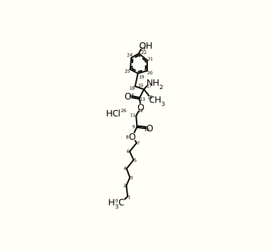 CCCCCCCCOC(=O)COC(=O)C(C)(N)Cc1ccc(O)cc1.Cl